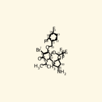 CC(C)N1C(=O)C(Br)=C(OCc2ccc(F)cc2F)N(OC(=O)C(F)(F)F)C1N1CC[C@@H](N)C1